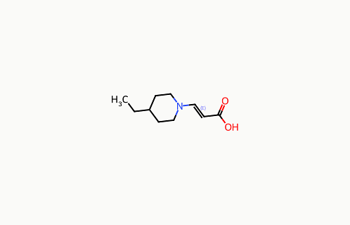 CCC1CCN(/C=C/C(=O)O)CC1